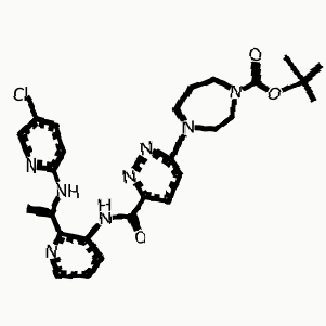 C=C(Nc1ccc(Cl)cn1)c1ncccc1NC(=O)c1ccc(N2CCCN(C(=O)OC(C)(C)C)CC2)nn1